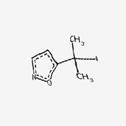 CC(C)(I)c1ccno1